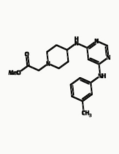 COC(=O)CN1CCC(Nc2cc(Nc3cccc(C)c3)ncn2)CC1